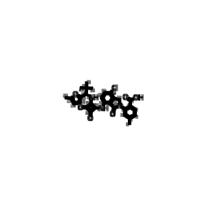 Cc1ccc(C(=O)O)c(N2Cc3c(Cl)ccc(Nc4c(N[C@@H](c5ccc(C)o5)C(C)(C)C)c(=O)c4=O)c3C2=O)c1